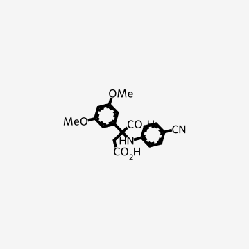 COc1cc(OC)cc(C(CC(=O)O)(Nc2ccc(C#N)cc2)C(=O)O)c1